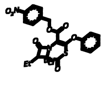 CCC1C(=O)N(C(C(=O)OCc2ccc([N+](=O)[O-])cc2)=C(Oc2ccccc2)SC(=O)C(C)(C)C)C1Cl